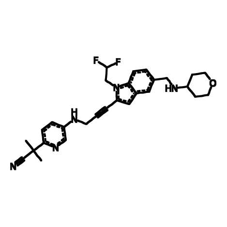 CC(C)(C#N)c1ccc(NCC#Cc2cc3cc(CNC4CCOCC4)ccc3n2CC(F)F)cn1